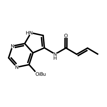 CC=CC(=O)Nc1c[nH]c2ncnc(OCC(C)C)c12